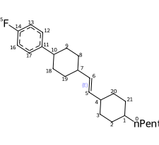 CCCCCC1CCC(/C=C/C2CCC(c3ccc(F)cc3)CC2)CC1